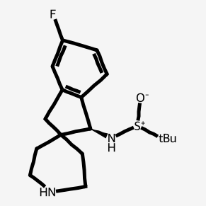 CC(C)(C)[S+]([O-])N[C@@H]1c2ccc(F)cc2CC12CCNCC2